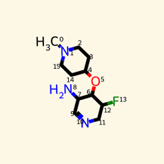 CN1CCC(OC2C(N)C=NCC2F)CC1